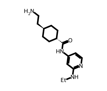 CCNc1cc(NC(=O)[C@H]2CC[C@H](CCN)CC2)ccn1